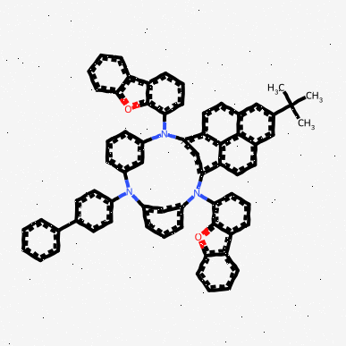 CC(C)(C)c1cc2ccc3c4cc(c5ccc(c1)c2c35)N(c1cccc2c1oc1ccccc12)c1cccc(c1)N(c1ccc(-c2ccccc2)cc1)c1cccc(c1)N4c1cccc2c1oc1ccccc12